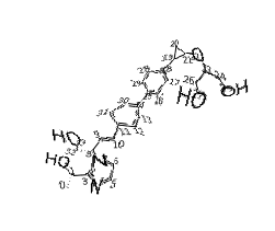 C[C@H](O)c1nccn1[C@@H](/C=C/c1ccc(-c2ccc(C3CC3OC(CO)CO)cc2)cc1)CO